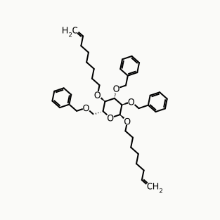 C=CCCCCCCO[C@H]1O[C@H](COCc2ccccc2)[C@@H](OCCCCCCC=C)[C@H](OCc2ccccc2)[C@H]1OCc1ccccc1